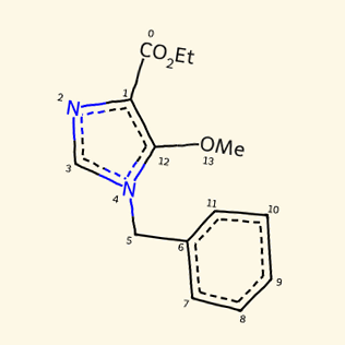 CCOC(=O)c1ncn(Cc2ccccc2)c1OC